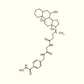 C[C@H](CCC(=O)NCC(=O)NCc1ccc(C(=O)NO)cc1)C1CCC2C3C(O)CC4CCCCC4(C)C3CCC21C